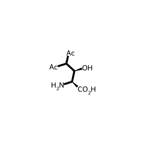 CC(=O)C(C(C)=O)[C@@H](O)[C@H](N)C(=O)O